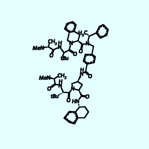 CN[C@@H](C)C(=O)NC(C(=O)N1Cc2ccccc2C[C@H]1C(=O)N(Cc1ccc(C(=O)N[C@H]2C[C@@H](C(=O)N[C@@H]3CCCc4ccccc43)N(C(=O)[C@@H](NC(=O)[C@H](C)NC)C(C)(C)C)C2)cc1)[C@H](C)c1ccccc1)C(C)(C)C